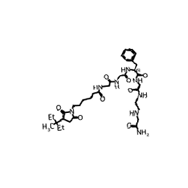 CCC(C)(CC)C1CC(=O)N(CCCCCC(=O)NCC(=O)NCC(=O)N[C@@H](Cc2ccccc2)C(=O)NCC(=O)NCCNCC(N)=O)C1=O